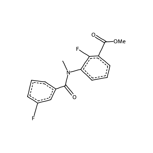 COC(=O)c1cccc(N(C)C(=O)c2cccc(F)c2)c1F